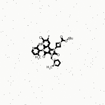 Cc1ccnc(C(C)C)c1-n1c(=O)c2c(c3cc(F)c(Cl)nc31)n(C1CN(C(=O)OC(C)(C)C)C1)c(=O)n2C[C@@H]1CCCN1C